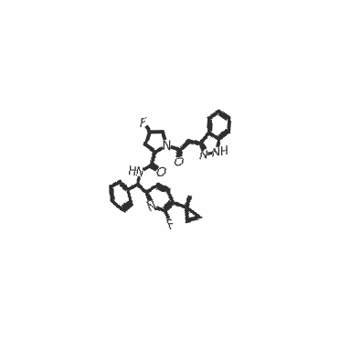 CC1(c2ccc(C(NC(=O)C3CC(F)CN3C(=O)Cc3n[nH]c4ccccc34)c3ccccc3)nc2F)CC1